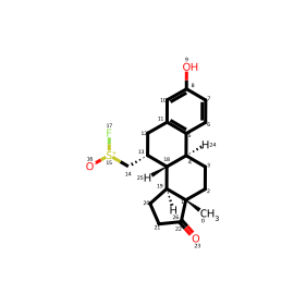 C[C@]12CC[C@@H]3c4ccc(O)cc4C[C@@H](C[S+]([O-])F)[C@H]3[C@@H]1CCC2=O